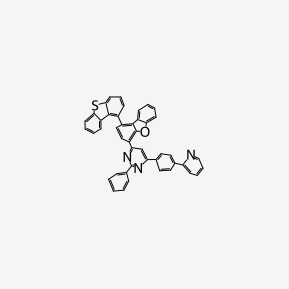 c1ccc(-c2nc(-c3ccc(-c4ccccn4)cc3)cc(-c3ccc(-c4cccc5sc6ccccc6c45)c4c3oc3ccccc34)n2)cc1